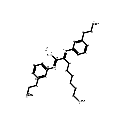 CCCCCCCCCCCCCCCCC(=N\c1cccc(CCCCCCCCCCCC)c1)/C(CCCC)=N/c1cccc(CCCCCCCCCCCC)c1.[Pd]